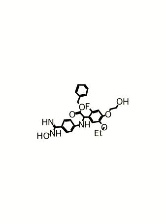 CCOc1cc(C(Nc2ccc(C(=N)NO)cc2)C(=O)OCc2ccccc2)c(F)cc1OCCO